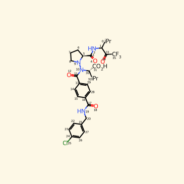 CC(C)C(NC(=O)[C@@H]1CCCN1N(C(=O)c1ccc(C(=O)NCc2ccc(Cl)cc2)cc1)[C@H](C(=O)O)C(C)C)C(=O)C(F)(F)F